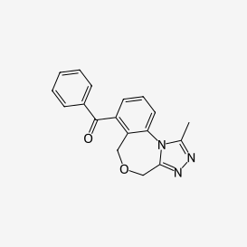 Cc1nnc2n1-c1cccc(C(=O)c3ccccc3)c1COC2